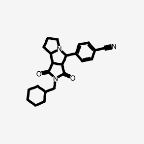 N#Cc1ccc(C2C3C(=O)N(CC4CCCCC4)C(=O)C3C3CCCN32)cc1